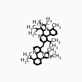 Cc1cccc2c1N1C(=C(C(C)C)N(C)[C@@H]1C)c1ncc(Cc3ccnc4c3N3C(=CN(C)[C@@H]3C)c3cccc(C(C)C)c3-4)c(C(C)C)c1-2